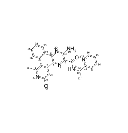 Cc1cc(-c2nc(C(=O)N[C@@H](C)c3ccccn3)c(N)nc2-c2ccccc2)cc(Cl)n1